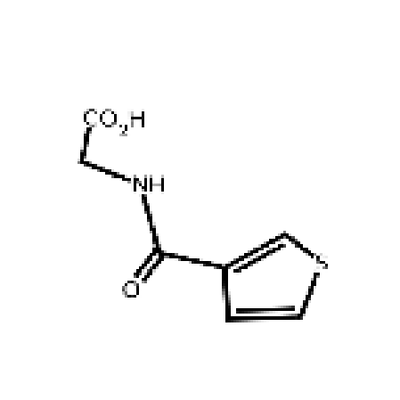 O=C(O)CNC(=O)c1ccsc1